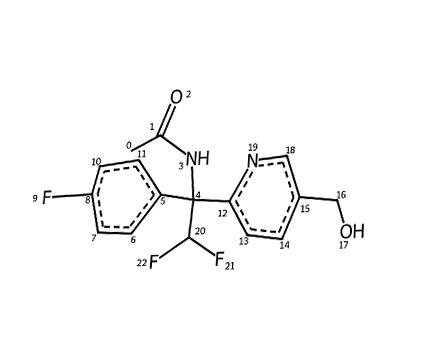 CC(=O)NC(c1ccc(F)cc1)(c1ccc(CO)cn1)C(F)F